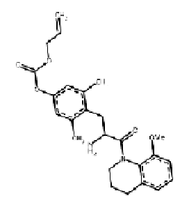 C=CCOC(=O)Oc1cc(C)c(CC(N)C(=O)N2CCCc3cccc(OC)c32)c(C)c1